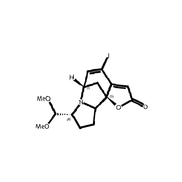 COC(OC)[C@H]1CCC2N1[C@@H]1C=C(I)C3=CC(=O)O[C@@]32C1